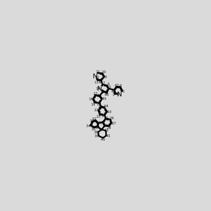 c1cncc(-c2cc(-c3cccnc3)nc(-c3cccc(-c4ccc(-c5cccc6c5-c5ccccc5C65CCCCC5)cc4)c3)c2)c1